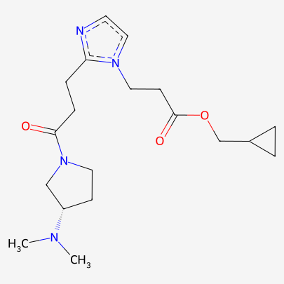 CN(C)[C@H]1CCN(C(=O)CCc2nccn2CCC(=O)OCC2CC2)C1